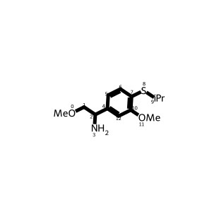 COCC(N)c1ccc(SC(C)C)c(OC)c1